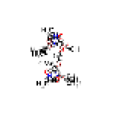 C#CCOc1cc2c(cc1OCCCCCOc1cc3c(cc1OC)C(=O)N1C=C(C)C[C@H]1C(=O)N3COCC[Si](C)(C)C)N(COCC[Si](C)(C)C)C(=O)[C@@H]1CC(C)=CN1C2=O